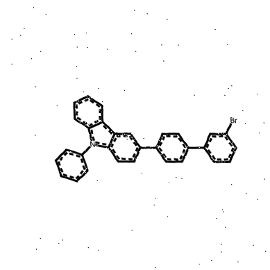 Brc1cccc(-c2ccc(-c3ccc4c(c3)c3ccccc3n4-c3ccccc3)cc2)c1